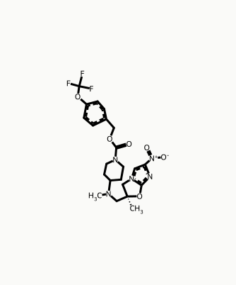 CN(C[C@@]1(C)Cn2cc([N+](=O)[O-])nc2O1)C1CCN(C(=O)OCc2ccc(OC(F)(F)F)cc2)CC1